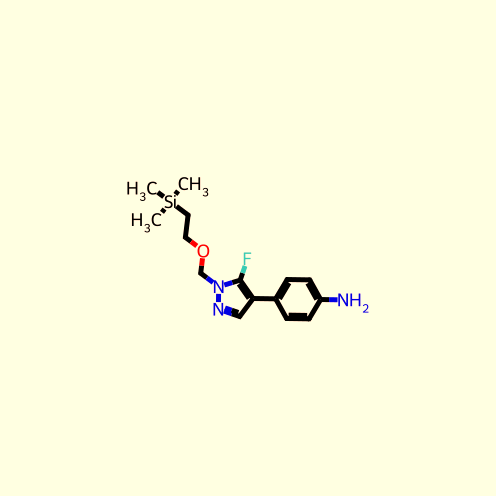 C[Si](C)(C)CCOCn1ncc(-c2ccc(N)cc2)c1F